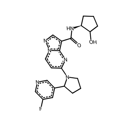 O=C(N[C@H]1CCCC1O)c1cnn2ccc(N3CCCC3c3cncc(F)c3)nc12